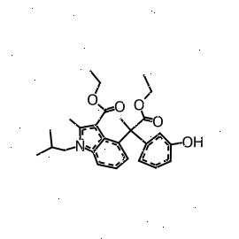 CCOC(=O)c1c(C)n(CC(C)C)c2cccc(C(C)(C(=O)OCC)c3cccc(O)c3)c12